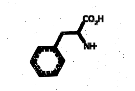 [NH]C(Cc1ccccc1)C(=O)O